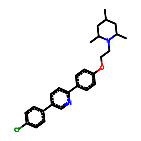 CC1CC(C)N(CCOc2ccc(-c3ccc(-c4ccc(Cl)cc4)cn3)cc2)C(C)C1